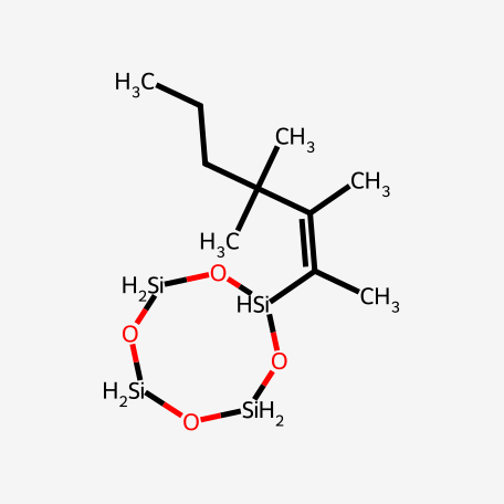 CCCC(C)(C)C(C)=C(C)[SiH]1O[SiH2]O[SiH2]O[SiH2]O1